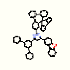 c1ccc(-c2cc(-c3ccccc3)cc(-c3cc(-c4ccc5oc6ccccc6c5c4)nc(-c4ccc5c(c4)C4(c6ccccc6-c6ccccc6-5)c5ccccc5-c5ccccc54)n3)c2)cc1